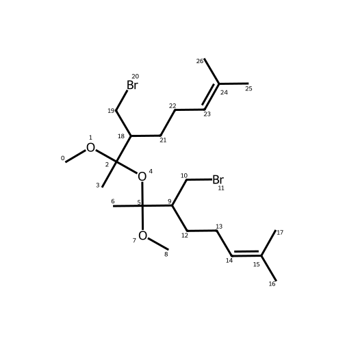 COC(C)(OC(C)(OC)C(CBr)CCC=C(C)C)C(CBr)CCC=C(C)C